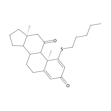 CCCCCSC1=CC(=O)C=C2CCC3C4CCC[C@@]4(C)CC(=O)C3[C@]21C